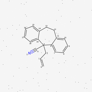 C=CCC1(C#N)c2ccccc2CCc2ccccc21